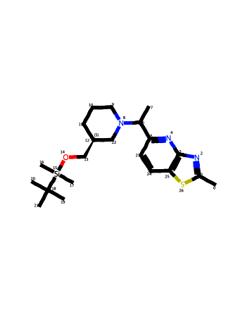 Cc1nc2nc(C(C)N3CCC[C@H](CO[Si](C)(C)C(C)(C)C)C3)ccc2s1